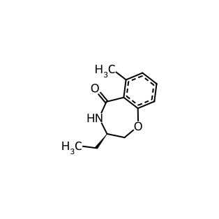 CC[C@@H]1COc2cccc(C)c2C(=O)N1